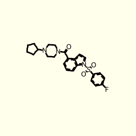 O=C(c1cccc2c1ccn2S(=O)(=O)c1ccc(F)cc1)N1CCN(C2CCCC2)CC1